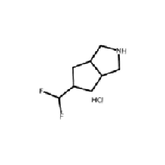 Cl.FC(F)C1CC2CNCC2C1